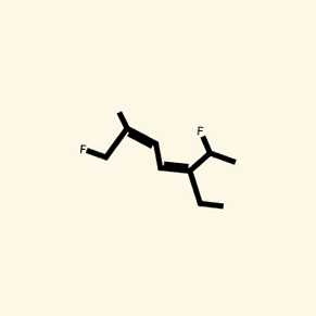 CC/C(=C/C=C(/C)CF)C(C)F